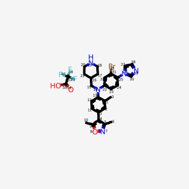 Cc1cc(-c2c(C)noc2C)ccc1N(CC1CCNCC1)c1ccc(-n2ccnc2)c(Br)c1.O=C(O)C(F)(F)F